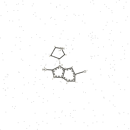 Oc1nc2ncc(Cl)cc2n1[C@@H]1CCNC1